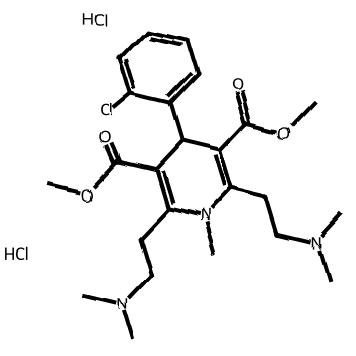 COC(=O)C1=C(CCN(C)C)N(C)C(CCN(C)C)=C(C(=O)OC)C1c1ccccc1Cl.Cl.Cl